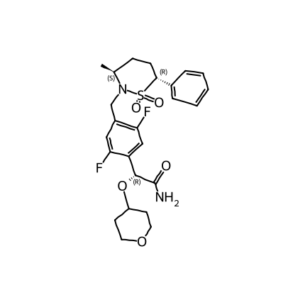 C[C@H]1CC[C@H](c2ccccc2)S(=O)(=O)N1Cc1cc(F)c([C@@H](OC2CCOCC2)C(N)=O)cc1F